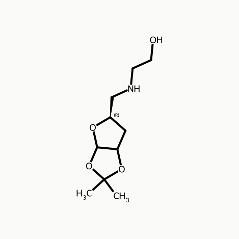 CC1(C)OC2C[C@H](CNCCO)OC2O1